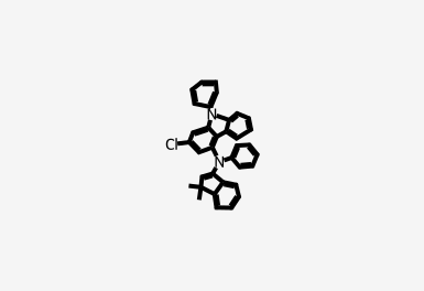 CC1(C)C=C(N(c2ccccc2)c2cc(Cl)cc3c2c2ccccc2n3-c2ccccc2)c2ccccc21